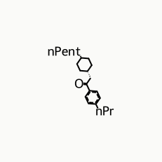 CCCCC[C@H]1CC[C@H](CC(=O)c2ccc(CCC)cc2)CC1